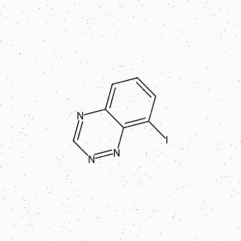 Ic1cccc2ncnnc12